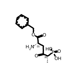 C[C@H](C(=O)C[C@H](N)C(=O)OCc1ccccc1)P(=O)(O)O